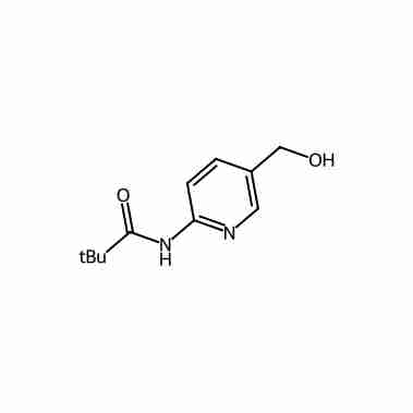 CC(C)(C)C(=O)Nc1ccc(CO)cn1